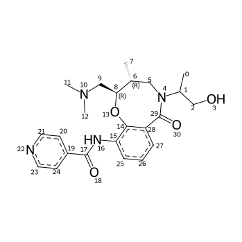 CC(CO)N1C[C@@H](C)[C@H](CN(C)C)Oc2c(NC(=O)c3ccncc3)cccc2C1=O